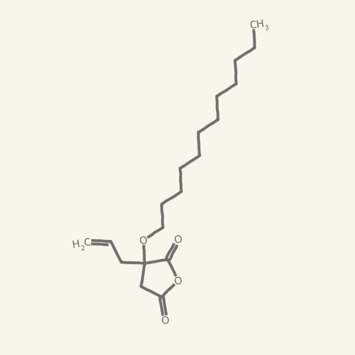 C=CCC1(OCCCCCCCCCCCC)CC(=O)OC1=O